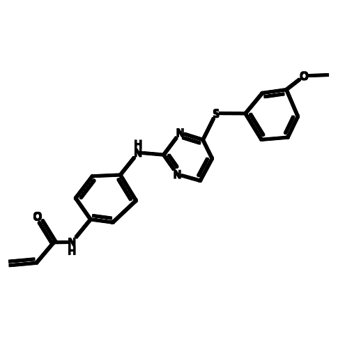 C=CC(=O)Nc1ccc(Nc2nccc(Sc3cccc(OC)c3)n2)cc1